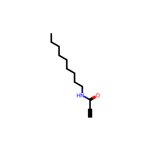 C#CC(=O)NCCCCCCCCC